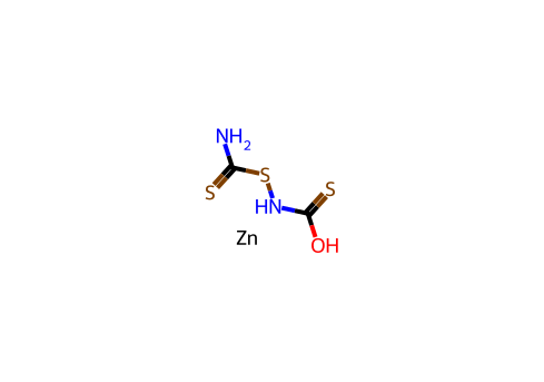 NC(=S)SNC(O)=S.[Zn]